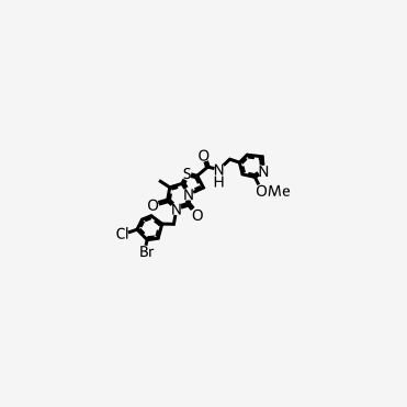 COc1cc(CNC(=O)c2cn3c(=O)n(Cc4ccc(Cl)c(Br)c4)c(=O)c(C)c3s2)ccn1